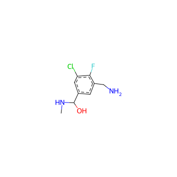 CNC(O)c1cc(Cl)c(F)c(CN)c1